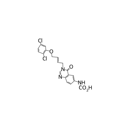 O=C(O)Nc1ccc2ncn(CC=CCOc3cc(Cl)ccc3Cl)c(=O)c2c1